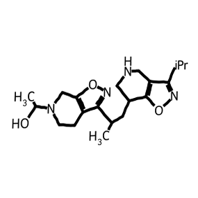 CC(C)c1noc2c1CNCC2CC(C)c1noc2c1CCN(C(C)O)C2